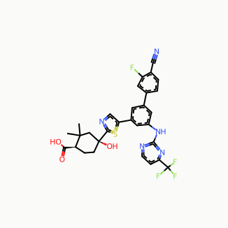 CC1(C)C[C@](O)(c2ncc(-c3cc(Nc4nccc(C(F)(F)F)n4)cc(-c4ccc(C#N)c(F)c4)c3)s2)CC[C@H]1C(=O)O